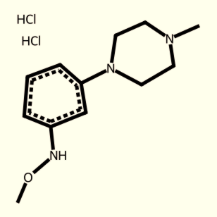 CONc1cccc(N2CCN(C)CC2)c1.Cl.Cl